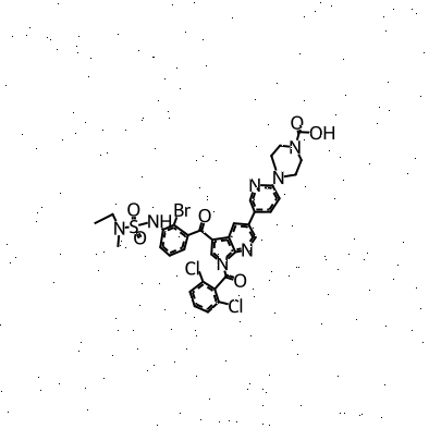 CCN(C)S(=O)(=O)Nc1cccc(C(=O)c2cn(C(=O)c3c(Cl)cccc3Cl)c3ncc(-c4ccc(N5CCN(C(=O)O)CC5)nc4)cc23)c1Br